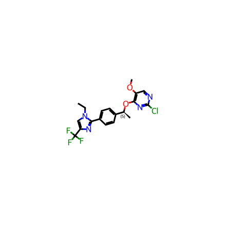 CCn1cc(C(F)(F)F)nc1-c1ccc([C@H](C)Oc2nc(Cl)ncc2OC)cc1